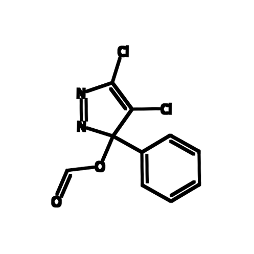 O=COC1(c2ccccc2)N=NC(Cl)=C1Cl